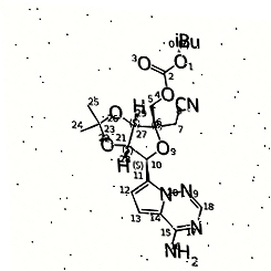 CC[C@@H](C)OC(=O)OC[C@@]1(CC#N)O[C@@H](c2ccc3c(N)ncnn23)[C@@H]2OC(C)(C)O[C@@H]21